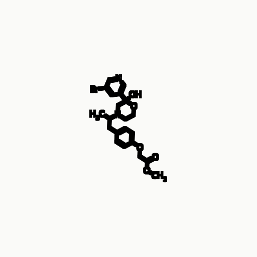 COC(=O)COc1ccc(CC(C)N2CCOC(O)(c3cncc(Br)c3)C2)cc1